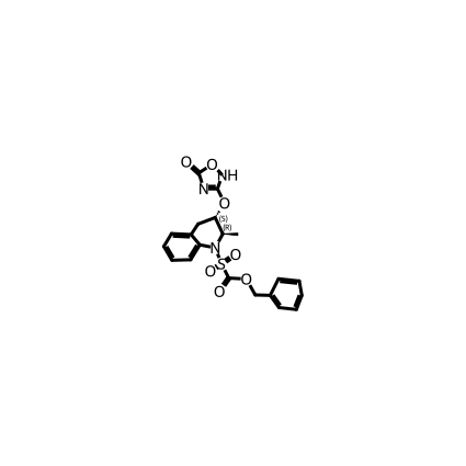 C[C@@H]1[C@@H](Oc2nc(=O)o[nH]2)Cc2ccccc2N1S(=O)(=O)C(=O)OCc1ccccc1